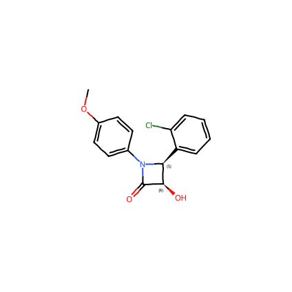 COc1ccc(N2C(=O)[C@H](O)[C@@H]2c2ccccc2Cl)cc1